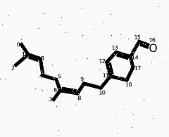 CC(C)=CCCC(C)=CCCC1=CC=C(C=O)CC1